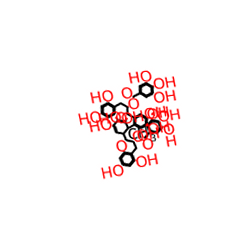 CC1(c2c(C3Oc4cc(O)cc(O)c4CC3OC(=O)c3cc(O)c(O)c(O)c3)cc(O)c(O)c2O)C(O)=C(O)C(O)=CC1C1Oc2cc(O)cc(O)c2CC1OC(=O)c1cc(O)c(O)c(O)c1